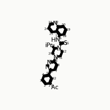 CC(=O)c1cccc(-c2ccc(N3CCN(C(=S)Nc4cccc5ncccc45)C(C(C)C)C3)nn2)c1